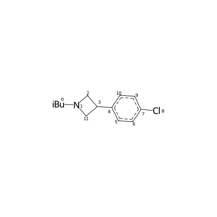 CCC(C)N1CC(c2ccc(Cl)cc2)C1